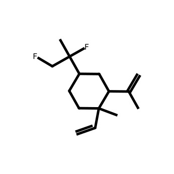 C=CC1(C)CCC(C(C)(F)CF)CC1C(=C)C